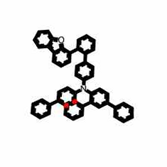 c1ccc(-c2ccc(N(c3ccc(-c4ccccc4-c4cccc5c4oc4ccccc45)cc3)c3ccc(-c4ccccc4)cc3-c3ccccc3)cc2)cc1